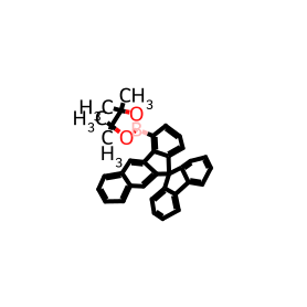 CC1(C)OB(c2cccc3c2-c2cc4ccccc4cc2C32c3ccccc3-c3ccccc32)OC1(C)C